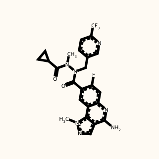 CN(C(=O)C1CC1)N(Cc1ccc(C(F)(F)F)nc1)C(=O)c1cc2c(cc1F)nc(N)c1cnn(C)c12